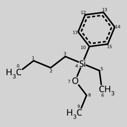 CCCC[Si](CC)(OCC)c1ccccc1